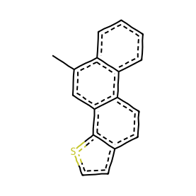 Cc1cc2c(ccc3ccsc32)c2ccccc12